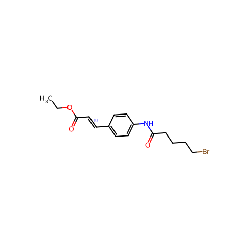 CCOC(=O)/C=C/c1ccc(NC(=O)CCCCBr)cc1